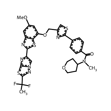 COc1cc(OCc2csc(-c3ccc(C(=O)N(C)C4CCOCC4)cc3)n2)c2sc(-c3cn4nc(C(C)(F)F)sc4n3)nc2c1